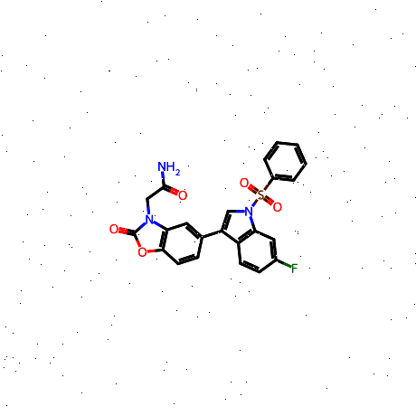 NC(=O)Cn1c(=O)oc2ccc(-c3cn(S(=O)(=O)c4ccccc4)c4cc(F)ccc34)cc21